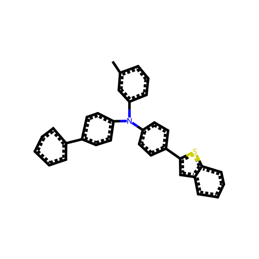 Cc1cccc(N(c2ccc(-c3ccccc3)cc2)c2ccc(-c3cc4ccccc4s3)cc2)c1